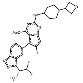 COc1nc(NC2CCN(C3COC3)CC2)nn2cc(F)c(-c3ccc4nnn([C@@H](C)C(F)F)c4c3)c12